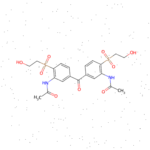 CC(=O)Nc1cc(C(=O)c2ccc(S(=O)(=O)CCO)c(NC(C)=O)c2)ccc1S(=O)(=O)CCO